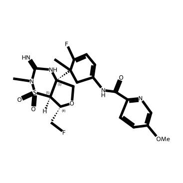 COc1ccc(C(=O)NC2=CC=C(F)C(C)([C@]34CO[C@H](CF)[C@H]3S(=O)(=O)N(C)C(=N)N4)C2)nc1